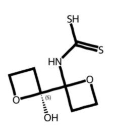 O[C@@]1(C2(NC(=S)S)CCO2)CCO1